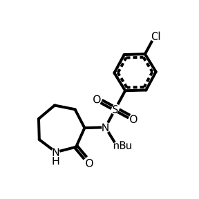 CCCCN(C1CCCCNC1=O)S(=O)(=O)c1ccc(Cl)cc1